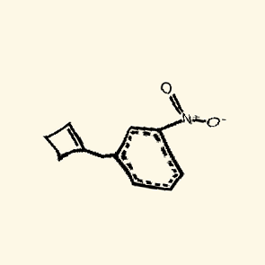 O=[N+]([O-])c1cccc(C2=CCC2)c1